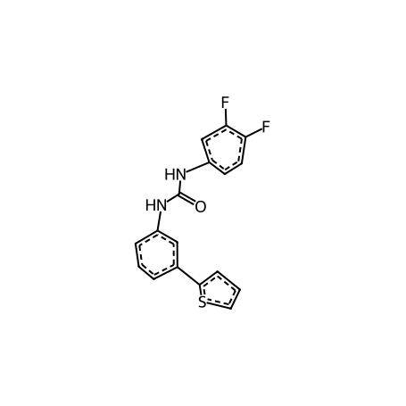 O=C(Nc1cccc(-c2cccs2)c1)Nc1ccc(F)c(F)c1